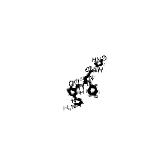 Nc1cccc(-c2ccc(Cl)c(C(=O)Nc3cc(C(=O)N[C@H]4CNC(=O)C4)nn3-c3ccccc3)c2)n1